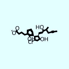 CC#CCC(C)C(O)/C=C/[C@@H]1[C@@H](c2cccc(CCCC(=O)OC)c2O)[C@H](Cl)C[C@H]1O